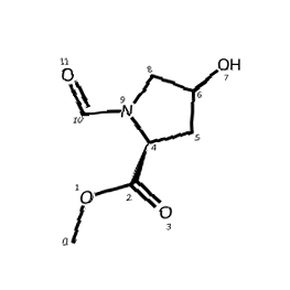 COC(=O)[C@@H]1CC(O)CN1C=O